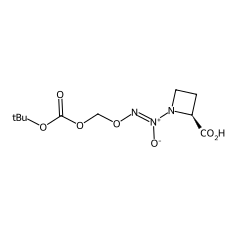 CC(C)(C)OC(=O)OCON=[N+]([O-])N1CC[C@H]1C(=O)O